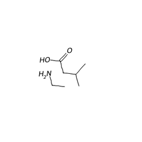 CC(C)CC(=O)O.CCN